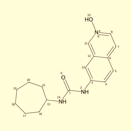 O=C(Nc1ccc2cc[n+](O)cc2c1)NC1CCCCCC1